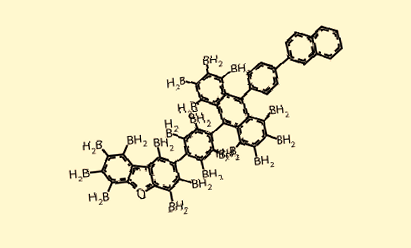 Bc1c(B)c(-c2c3c(B)c(B)c(B)c(B)c3c(-c3ccc(-c4ccc5ccccc5c4)cc3)c3c(B)c(B)c(B)c(B)c23)c(B)c(B)c1-c1c(B)c(B)c2oc3c(B)c(B)c(B)c(B)c3c2c1B